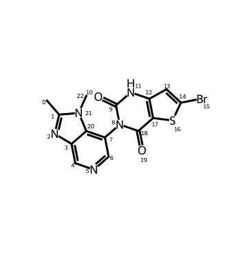 Cc1nc2cncc(-n3c(=O)[nH]c4cc(Br)sc4c3=O)c2n1C